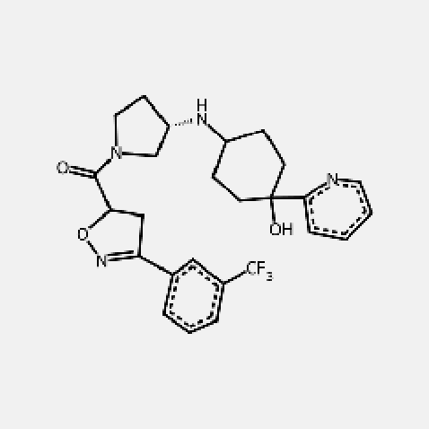 O=C(C1CC(c2cccc(C(F)(F)F)c2)=NO1)N1CC[C@H](NC2CCC(O)(c3ccccn3)CC2)C1